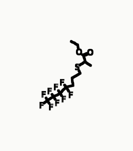 CCOC(=O)C(C)SCCCC(F)(F)C(F)(F)C(F)(F)C(F)(F)F